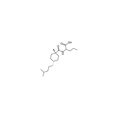 CCCC(NC(=O)[C@]1(C)CC[C@H](CCCC(C)C)CC1)C(=O)O